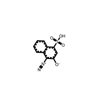 N#[N+]c1c([O-])cc(S(=O)(=O)O)c2ccccc12